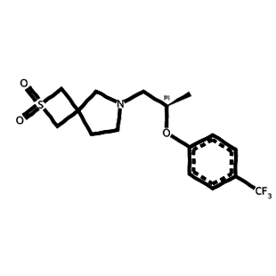 C[C@H](CN1CCC2(C1)CS(=O)(=O)C2)Oc1ccc(C(F)(F)F)cc1